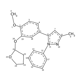 COc1ccc(-c2cc(C)nn2-c2ccccc2)cc1OC1CCCO1